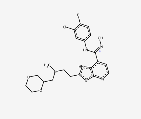 CN(CCc1nc2nccc(/C(=N/O)Nc3ccc(F)c(Cl)c3)c2[nH]1)CC1COCCO1